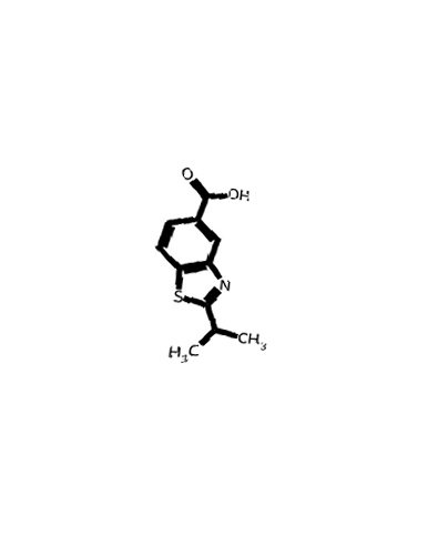 CC(C)c1nc2cc(C(=O)O)ccc2s1